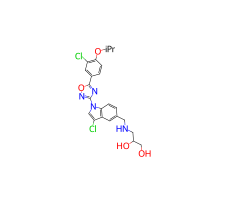 CC(C)Oc1ccc(-c2nc(-n3cc(Cl)c4cc(CNCC(O)CO)ccc43)no2)cc1Cl